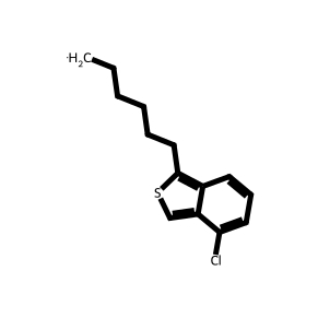 [CH2]CCCCCc1scc2c(Cl)cccc12